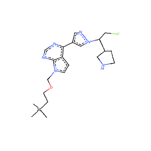 C[Si](C)(C)CCOCn1ccc2c(-c3cnn(C(CF)C4CCNC4)c3)ncnc21